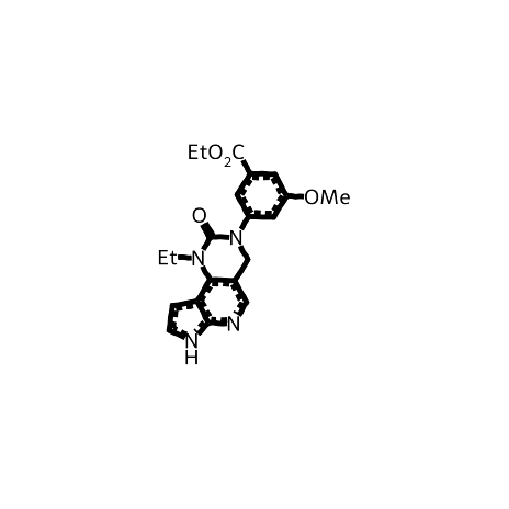 CCOC(=O)c1cc(OC)cc(N2Cc3cnc4[nH]ccc4c3N(CC)C2=O)c1